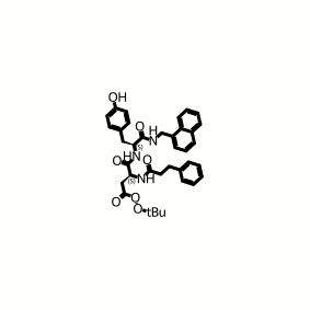 CC(C)(C)OOC(=O)C[C@H](NC(=O)CCc1ccccc1)C(=O)N[C@@H](Cc1ccc(O)cc1)C(=O)NCc1cccc2ccccc12